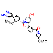 COc1cc(C(=O)N2CC(O)C[C@@H]2c2cccc(C(=O)N3CC(OC)C3)c2)ccc1-c1cn[nH]c1